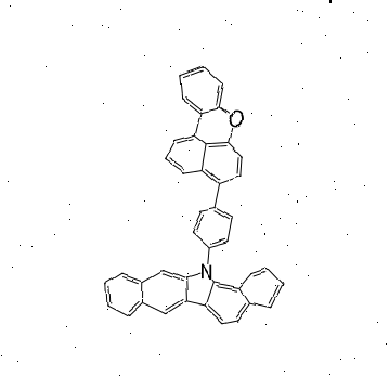 c1ccc2c(c1)Oc1ccc(-c3ccc(-n4c5cc6ccccc6cc5c5ccc6ccccc6c54)cc3)c3cccc-2c13